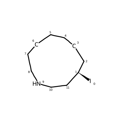 I[C@@H]1CCCCCCCNCC1